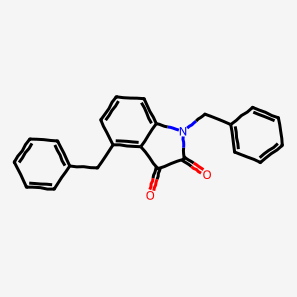 O=C1C(=O)N(Cc2ccccc2)c2cccc(Cc3ccccc3)c21